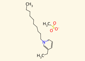 CCCCCCCCCC[n+]1cccc(CC)c1.CS(=O)(=O)[O-]